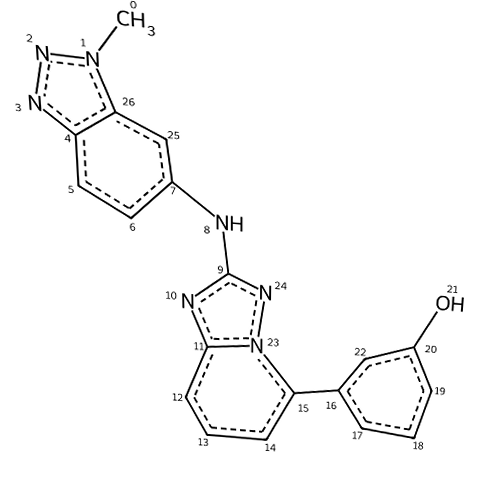 Cn1nnc2ccc(Nc3nc4cccc(-c5cccc(O)c5)n4n3)cc21